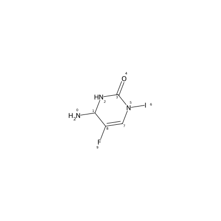 NC1NC(=O)N(I)C=C1F